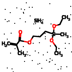 C=C(C)C(=O)OCCC[Si](C)(OCC)OCC.[SiH4]